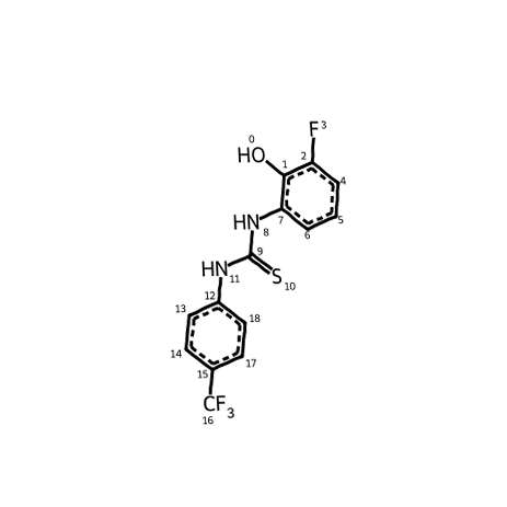 Oc1c(F)cccc1NC(=S)Nc1ccc(C(F)(F)F)cc1